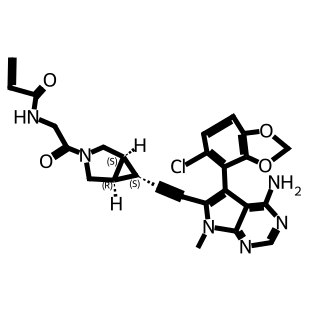 C=CC(=O)NCC(=O)N1C[C@@H]2[C@@H](C#Cc3c(-c4c(Cl)ccc5c4OCO5)c4c(N)ncnc4n3C)[C@@H]2C1